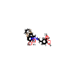 COc1ccc(CCNC[CH]CC2(c3ccc(OC)c(OC)c3)SCCCS2)cc1OC